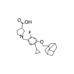 O=C(O)C1CCN(Cc2cc(C3CC3)c(OCC34CC5CC(CC(C5)C3)C4)cc2F)C1